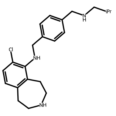 CC(C)CNCc1ccc(CNc2c(Cl)ccc3c2CCNCC3)cc1